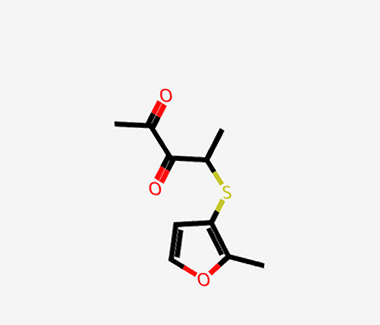 CC(=O)C(=O)C(C)Sc1ccoc1C